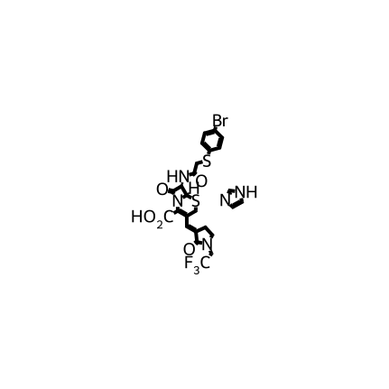 O=C(CSc1ccc(Br)cc1)N[C@@H]1C(=O)N2C(C(=O)O)=C(/C=C3\CCN(CC(F)(F)F)C3=O)CS[C@H]12.c1c[nH]cn1